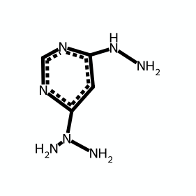 NNc1cc(N(N)N)ncn1